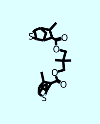 CC1C2CC(C3SC23)C1C(=O)OCC(C)(C)COC(=O)C1C(C)C2CC13CC2S3